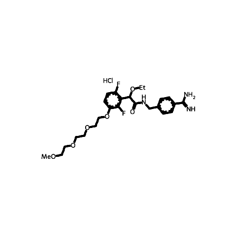 CCOC(C(=O)NCc1ccc(C(=N)N)cc1)c1c(F)ccc(OCCOCCOCCOC)c1F.Cl